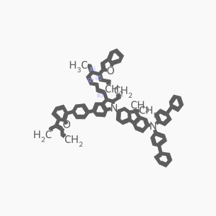 C=C/C=C(C(/C=C\C/C=C/C1c2cc(C3=CCC(c4cccc5c(C=C)c(C=C)oc45)C=C3)ccc2N(C2=CC=C3c4ccc(N(c5ccc(-c6ccccc6)cc5)c5ccc(-c6ccccc6)cc5)cc4C(C)(C)C3C2)C1C=C)=C/C)\c1cc2ccccc2o1